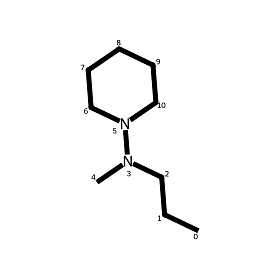 CCCN(C)N1CCCCC1